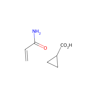 C=CC(N)=O.O=C(O)C1CC1